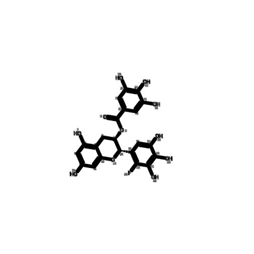 O=C(O[C@@H]1Cc2c(O)cc(O)cc2O[C@H]1c1cc(O)c(O)c(O)c1F)c1cc(O)c(O)c(O)c1